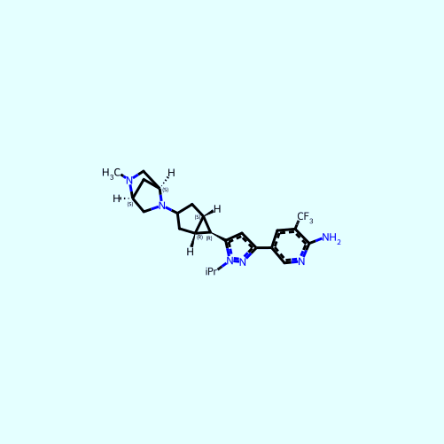 CC(C)n1nc(-c2cnc(N)c(C(F)(F)F)c2)cc1[C@H]1[C@@H]2CC(N3C[C@@H]4C[C@H]3CN4C)C[C@@H]21